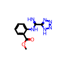 COC(=O)c1ccccc1NC(=N)c1nnn[nH]1